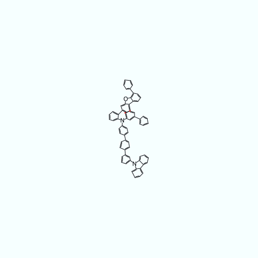 c1ccc(-c2cccc(N(c3ccc(-c4ccc(-c5cccc(-n6c7ccccc7c7ccccc76)c5)cc4)cc3)c3ccccc3-c3ccc4c(c3)oc3c(-c5ccccc5)cccc34)c2)cc1